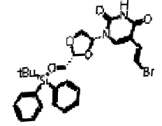 CC(C)(C)[Si](OC[C@@H]1OC[C@H](n2cc(/C=C/Br)c(=O)[nH]c2=O)O1)(c1ccccc1)c1ccccc1